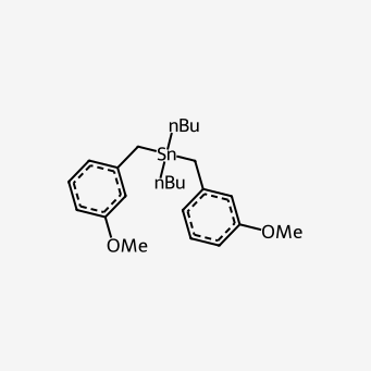 CCC[CH2][Sn]([CH2]CCC)([CH2]c1cccc(OC)c1)[CH2]c1cccc(OC)c1